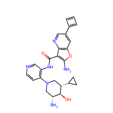 Nc1oc2cc(C3=CC=C3)cnc2c1C(=O)Nc1cnccc1N1C[C@@H](N)[C@H](O)[C@@H](C2CC2)C1